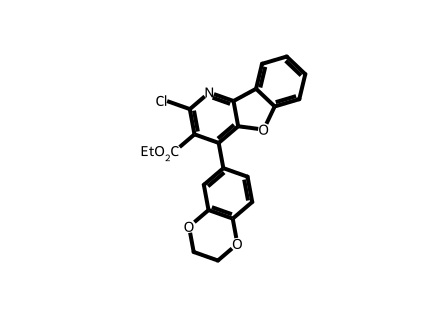 CCOC(=O)c1c(Cl)nc2c(oc3ccccc32)c1-c1ccc2c(c1)OCCO2